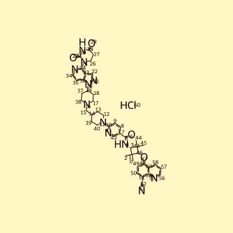 CC1(C)[C@H](NC(=O)c2ccc(N3CCC(CN4CCC(n5ncc6c(N7CCC(=O)NC7=O)nccc65)CC4)CC3)nc2)C(C)(C)[C@H]1Oc1ccc(C#N)c2ncccc12.Cl